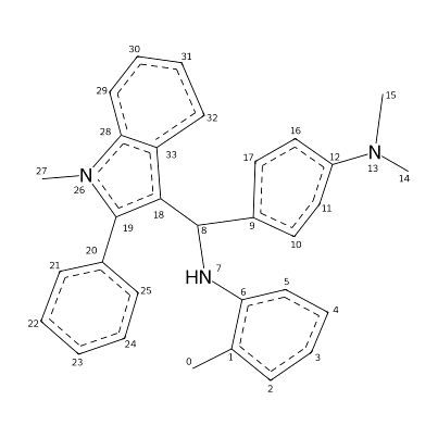 Cc1ccccc1NC(c1ccc(N(C)C)cc1)c1c(-c2ccccc2)n(C)c2ccccc12